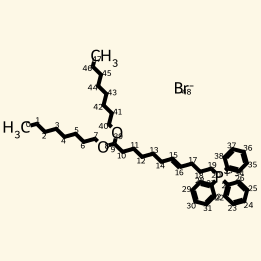 CCCCCCCCOC(CCCCC/C=C/CCC[P+](c1ccccc1)(c1ccccc1)c1ccccc1)OCCCCCCCC.[Br-]